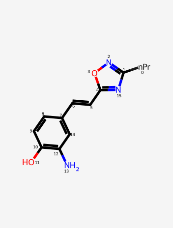 CCCc1noc(C=Cc2ccc(O)c(N)c2)n1